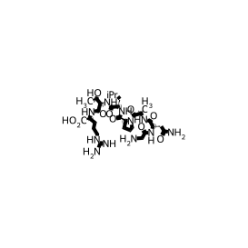 CC(C)C[C@H](NC(=O)[C@@H]1CCCN1C(=O)[C@H](C)NC(=O)[C@H](CC(N)=O)NC(=O)CN)C(=O)N[C@H](C(=O)N[C@@H](CCCNC(=N)N)C(=O)O)[C@@H](C)O